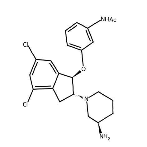 CC(=O)Nc1cccc(O[C@@H]2c3cc(Cl)cc(Cl)c3C[C@H]2N2CCC[C@@H](N)C2)c1